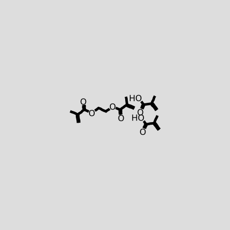 C=C(C)C(=O)O.C=C(C)C(=O)O.C=C(C)C(=O)OCCOC(=O)C(=C)C